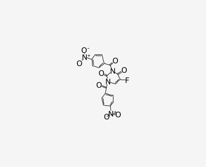 O=C(c1ccc([N+](=O)[O-])cc1)n1cc(F)c(=O)n(C(=O)c2ccc([N+](=O)[O-])cc2)c1=O